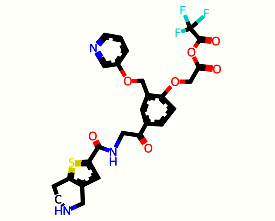 O=C(COc1ccc(C(=O)CNC(=O)c2cc3c(s2)CCNC3)cc1COc1cccnc1)OC(=O)C(F)(F)F